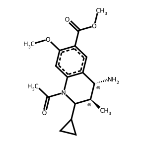 COC(=O)c1cc2c(cc1OC)N(C(C)=O)C(C1CC1)[C@H](C)[C@H]2N